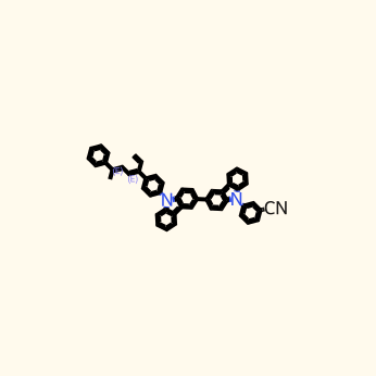 C=C/C(=C\C=C(/C)c1ccccc1)c1ccc(-n2c3ccccc3c3cc(-c4ccc5c(c4)c4ccccc4n5-c4cccc(C#N)c4)ccc32)cc1